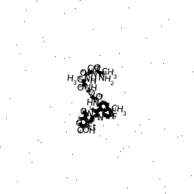 CC[C@@]1(O)C(=O)OCc2c1cc1n(c2=O)Cc2c-1nc1cc(F)c(C)c3c1c2C(NC(=O)COCNC(=O)[C@H](C)NC(=O)[C@H](C)NC(=O)[C@H](C)N)CC3